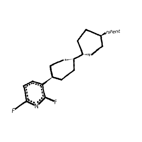 CCCCC[C@H]1CC[C@H]([C@H]2CC[C@H](c3ccc(F)nc3F)CC2)CC1